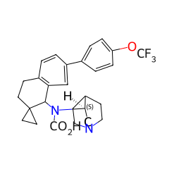 O=C(O)N(C1c2cc(-c3ccc(OC(F)(F)F)cc3)ccc2CCC12CC2)[C@@H]1CN2CCC1CC2